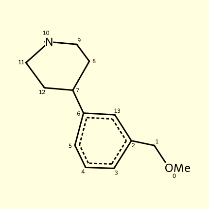 COCc1cccc(C2CC[N]CC2)c1